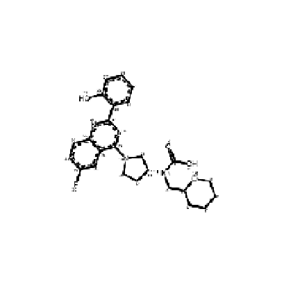 O=C(O)N(CC1CCCCO1)[C@@H]1CCN(c2nc(-c3ccccc3O)nc3ccc(F)cc23)C1